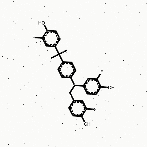 CC(C)(c1ccc(C(Cc2ccc(O)c(F)c2)c2ccc(O)c(F)c2)cc1)c1ccc(O)c(F)c1